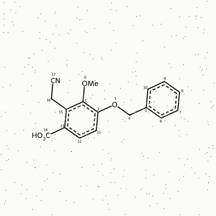 COc1c(OCc2ccccc2)ccc(C(=O)O)c1CC#N